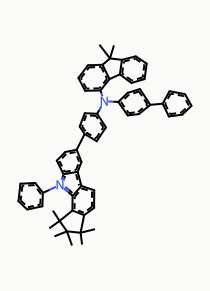 CC1(C)c2ccccc2-c2c(N(c3ccc(-c4ccccc4)cc3)c3ccc(-c4ccc5c(c4)c4ccc6c(c4n5-c4ccccc4)C(C)(C)C(C)(C)C6(C)C)cc3)cccc21